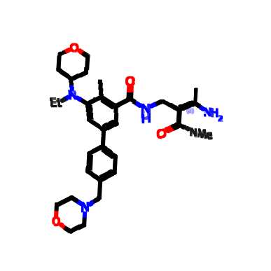 CCN(c1cc(-c2ccc(CN3CCOCC3)cc2)cc(C(=O)NC/C(C(=O)NC)=C(\C)N)c1C)C1CCOCC1